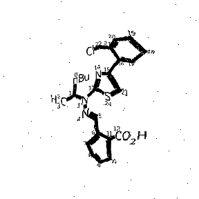 CCCCC(C)N(/N=C/c1ccccc1C(=O)O)c1nc(-c2ccccc2Cl)cs1